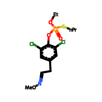 CCCSP(=O)(OCC)Oc1c(Cl)cc(CC=NOC)cc1Cl